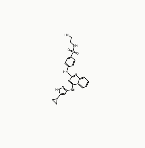 O=S(=O)(NCCO)c1ccc(Nc2nc(Nc3cc(C4CC4)[nH]n3)c3ccccc3n2)cc1